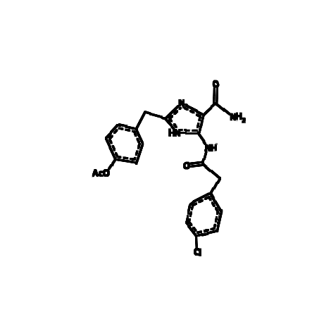 CC(=O)Oc1ccc(Cc2nc(C(N)=O)c(NC(=O)Cc3ccc(Cl)cc3)[nH]2)cc1